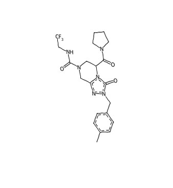 Cc1ccc(Cn2nc3n(c2=O)C(C(=O)N2CCCC2)CN(C(=O)NCC(F)(F)F)C3)cc1